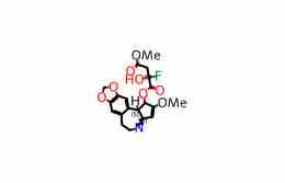 COC(=O)C[C@](O)(F)C(=O)OC1C(OC)=C[C@]23CCCN2CCc2cc4c(cc2[C@H]13)OCO4